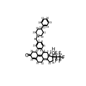 C[C@]12C[C@H](c3ccc(CN4CCC(c5ccccc5)CC4)cc3)C3=C4CCC(=O)C=C4CCC3C1CC[C@@]2(O)C(F)(F)C(F)(F)F